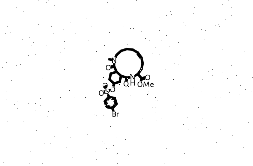 COC(=O)C1CCC=CCCCCN(C)C(=O)C2CCC(OS(=O)(=O)c3ccc(Br)cc3)CC2C(=O)N1